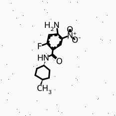 C[C@H]1CC[C@H](NC(=O)c2cc([N+](=O)[O-])c(N)cc2F)CC1